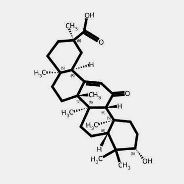 CC1(C)[C@@H](O)CC[C@]2(C)[C@H]3C(=O)C=C4[C@@H]5C[C@](C)(C(=O)O)CC[C@]5(C)CC[C@@]4(C)[C@]3(C)CC[C@@H]12